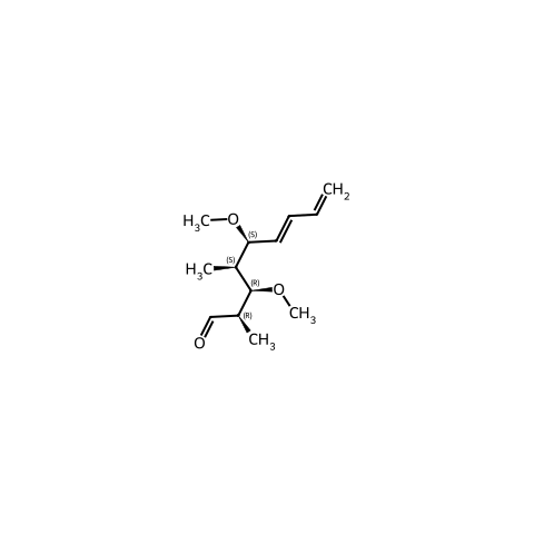 C=CC=C[C@H](OC)[C@H](C)[C@@H](OC)[C@@H](C)C=O